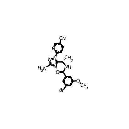 C[C@H](NC(=O)c1cc(Br)cc(OC(F)(F)F)c1)c1nc(N)nn1-c1ccc(C#N)cn1